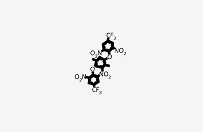 Cc1cc(Oc2c([N+](=O)[O-])cc(C(F)(F)F)cc2[N+](=O)[O-])c(C)c(C)c1Oc1c([N+](=O)[O-])cc(C(F)(F)F)cc1[N+](=O)[O-]